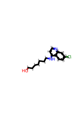 OCCCCCCCNc1ccnc2cc(Cl)ccc12